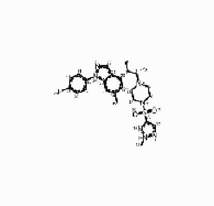 CC[C@H](C)N1CCN(S(=O)(=O)c2cnn(C)n2)C[C@@H]1c1cc2cnn(-c3ccc(F)cc3)c2cc1C